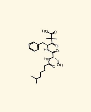 CC(C)CCCCC(=O)N[C@@H](CO)C(=O)N[C@@H](Cc1ccccc1)C(=O)C(C)(C)C(=O)O